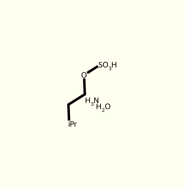 CC(C)CCOS(=O)(=O)O.N.O